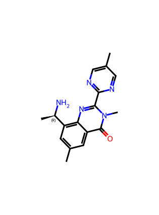 Cc1cnc(-c2nc3c([C@@H](C)N)cc(C)cc3c(=O)n2C)nc1